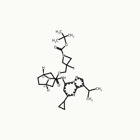 CC(C)c1cnn2c(NC3C[C@H]4CC[C@@H](C3)N4C(=O)OCC3(F)CN(C(=O)OC(C)(C)C)C3)cc(C3CC3)nc12